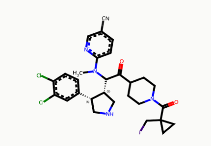 CN(c1ccc(C#N)cn1)C(C(=O)C1CCN(C(=O)C2(CI)CC2)CC1)[C@@H]1CNC[C@@H]1c1ccc(Cl)c(Cl)c1